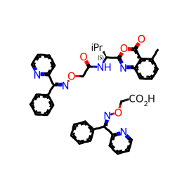 Cc1cccc2nc([C@@H](NC(=O)CON=C(c3ccccc3)c3ccccn3)C(C)C)oc(=O)c12.O=C(O)CON=C(c1ccccc1)c1ccccn1